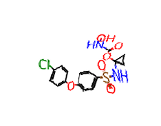 O=C(NO)OC1(NS(=O)(=O)c2ccc(Oc3ccc(Cl)cc3)cc2)CC1